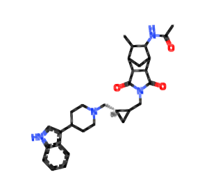 CC(=O)NC1C(C)C2CC1C1C(=O)N(CC3C[C@@H]3CN3CCC(c4c[nH]c5ccccc45)CC3)C(=O)C21